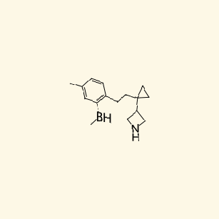 CBc1cc(C)ccc1CCC1(C2CNC2)CC1